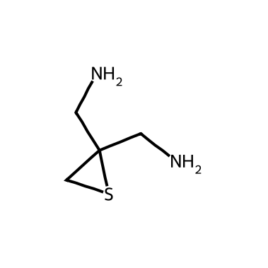 NCC1(CN)CS1